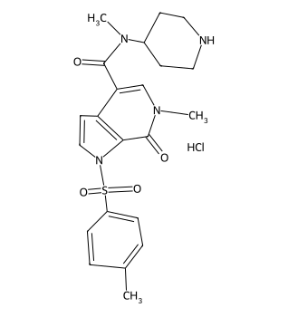 Cc1ccc(S(=O)(=O)n2ccc3c(C(=O)N(C)C4CCNCC4)cn(C)c(=O)c32)cc1.Cl